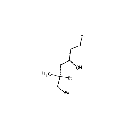 CCC(C)CC(C)(CC)CC(O)CCO